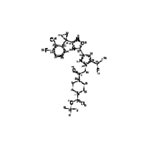 CC(C)(C)OC(=O)N1CCN(C(=O)Cn2nc(-c3nc(C4(c5cccc(F)c5Cl)CC4)no3)cc2C(F)F)CC1